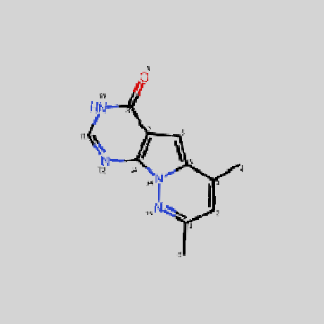 Cc1cc(C)c2cc3c(=O)[nH]cnc3n2n1